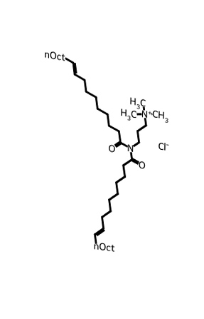 CCCCCCCCC=CCCCCCCCC(=O)N(CCC[N+](C)(C)C)C(=O)CCCCCCCC=CCCCCCCCC.[Cl-]